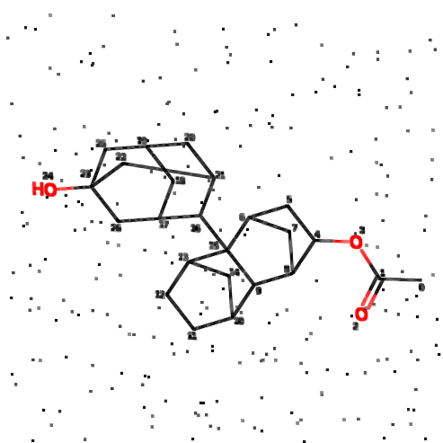 CC(=O)OC1CC2CC1C1C3CCC(C3)C21C1C2CC3CC1CC(O)(C3)C2